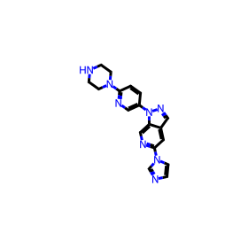 c1cn(-c2cc3cnn(-c4ccc(N5CCNCC5)nc4)c3cn2)cn1